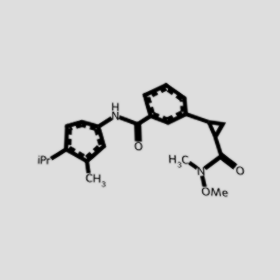 CON(C)C(=O)C1CC1c1cccc(C(=O)Nc2ccc(C(C)C)c(C)c2)c1